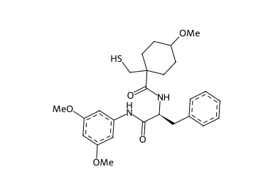 COc1cc(NC(=O)[C@H](Cc2ccccc2)NC(=O)C2(CS)CCC(OC)CC2)cc(OC)c1